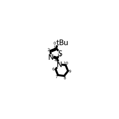 CC(C)(C)c1cnc(N2CCCCC2)s1